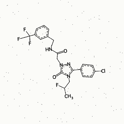 CC(F)Cn1c(-c2ccc(Cl)cc2)nn(CC(=O)NCc2cccc(C(F)(F)F)c2)c1=O